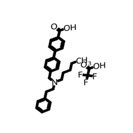 CCCCCN(CCc1ccccc1)Cc1ccc(-c2ccc(C(=O)O)cc2)cc1.O=C(O)C(F)(F)F